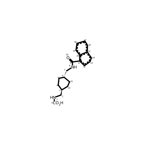 O=C(O)NC[C@H]1CC[C@H](CNC(=O)c2cccc3ccccc23)CC1